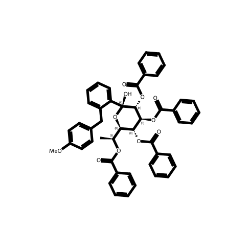 COc1ccc(Cc2ccccc2[C@@]2(O)O[C@H]([C@H](C)OC(=O)c3ccccc3)[C@@H](OC(=O)c3ccccc3)[C@H](OC(=O)c3ccccc3)[C@H]2OC(=O)c2ccccc2)cc1